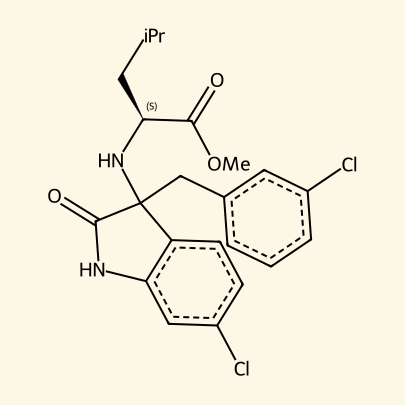 COC(=O)[C@H](CC(C)C)NC1(Cc2cccc(Cl)c2)C(=O)Nc2cc(Cl)ccc21